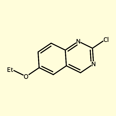 CCOc1ccc2nc(Cl)ncc2c1